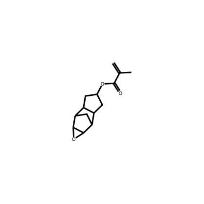 C=C(C)C(=O)OC1CC2C(C1)C1CC2C2OC12